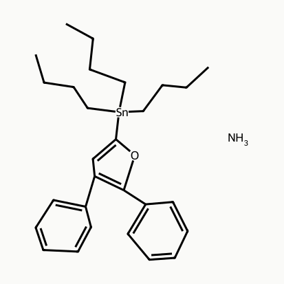 CCC[CH2][Sn]([CH2]CCC)([CH2]CCC)[c]1cc(-c2ccccc2)c(-c2ccccc2)o1.N